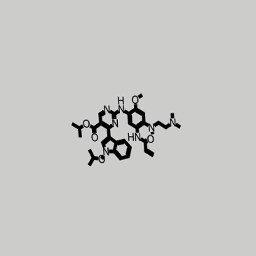 C=CC(=O)Nc1cc(Nc2ncc(C(=O)OC(C)C)c(-c3cn(OC(C)C)c4ccccc34)n2)c(OC)cc1N(C)CCN(C)C